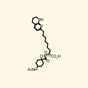 CC(=O)NC1CCC(C)(C(=O)N[C@@H](CCCCCCCc2ccc3c(n2)NCCC3)C(=O)O)CC1